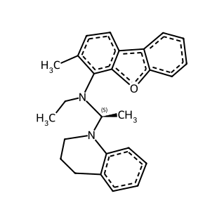 CCN(c1c(C)ccc2c1oc1ccccc12)[C@@H](C)N1CCCc2ccccc21